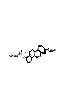 [CH2]CCCCCN[C@H]1CCC2C3CCc4cc(OC)ccc4C3CC[C@@]21C